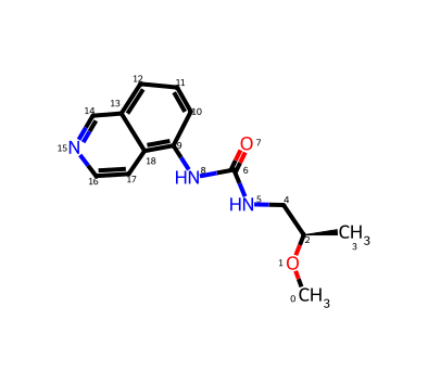 CO[C@H](C)CNC(=O)Nc1cccc2cnccc12